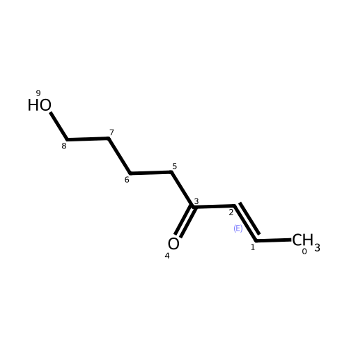 C/C=C/C(=O)CCCCO